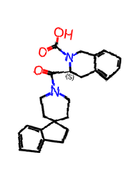 O=C([C@@H]1Cc2ccccc2CN1C(=O)O)N1CCC2(CCc3ccccc32)CC1